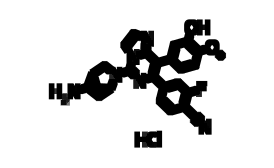 COc1ccc(-c2c(-c3ccc(C#N)c(F)c3)nc(N3CC4CC3CC4N)n3ccnc23)cc1O.Cl